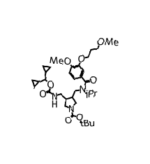 COCCCOc1cc(C(=O)N(CC2CN(C(=O)OC(C)(C)C)CC2CNC(=O)OC(C2CC2)C2CC2)C(C)C)ccc1OC